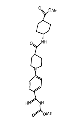 COC(=O)NC(=N)c1ccc(N2CCC(C(=O)N[C@H]3CC[C@H](C(=O)OC)CC3)CC2)cc1